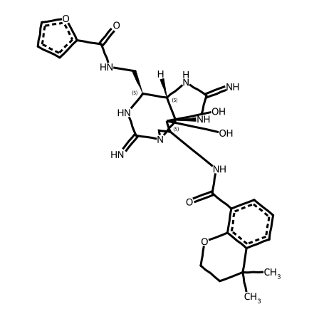 CC1(C)CCOc2c(C(=O)NC3CN4C(=N)N[C@@H](CNC(=O)c5ccco5)[C@@H]5NC(=N)N[C@@]54C3(O)O)cccc21